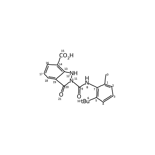 Cc1cccc(C(C)(C)C)c1NC(=O)n1[nH]c2c(C(=O)O)cccc2c1=O